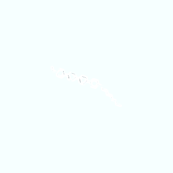 CCCCCCCCCC1CCC(c2ccc(-c3ccc(C4=CCC(CC)CC4)cc3)cc2)CC1